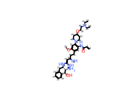 C=CC(=O)Nc1cc(CCC(=N)/C=C(\NN)N[C@H](CCO)Cc2ccccc2)c(OC)cc1N1CCC(OCCN(CC)CC)CC1